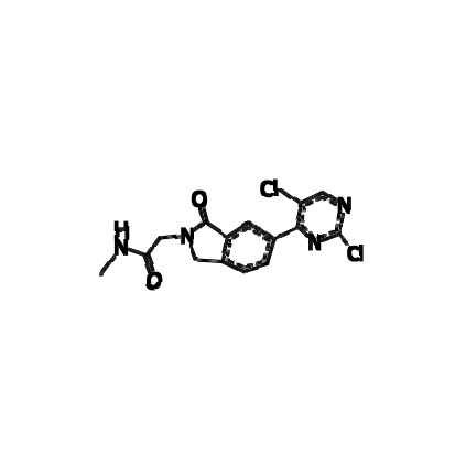 CNC(=O)CN1Cc2ccc(-c3nc(Cl)ncc3Cl)cc2C1=O